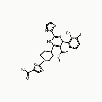 COC(=O)C1=C(C2CCN(c3ncc(C(=O)O)s3)CC2)NC(c2nccs2)=NC1c1cccc(F)c1Br